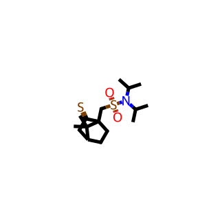 CC(C)N(C(C)C)S(=O)(=O)CC12CCC(CC1=S)C2(C)C